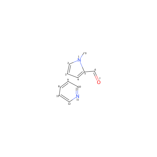 Cn1cccc1C=O.c1ccncc1